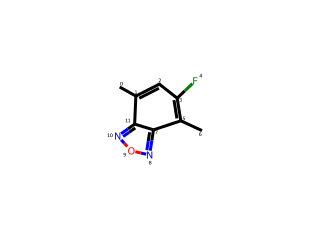 Cc1cc(F)c(C)c2nonc12